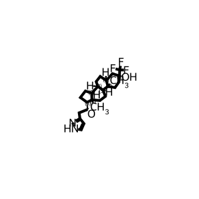 C[C@]12CC[C@](O)(C(F)(F)F)C[C@H]1CC[C@@H]1[C@@H]2CC[C@]2(C)[C@@H](C(=O)Cc3cc[nH]n3)CC[C@@H]12